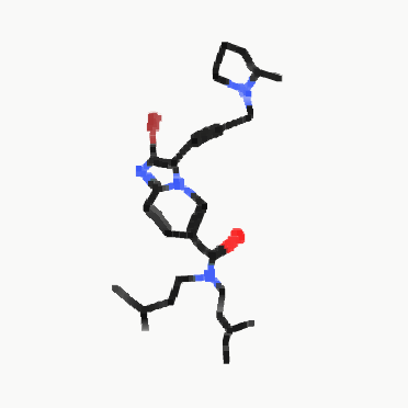 CC(C)CCN(CCC(C)C)C(=O)c1ccc2nc(Br)c(C#CCN3CCCC3C)n2c1